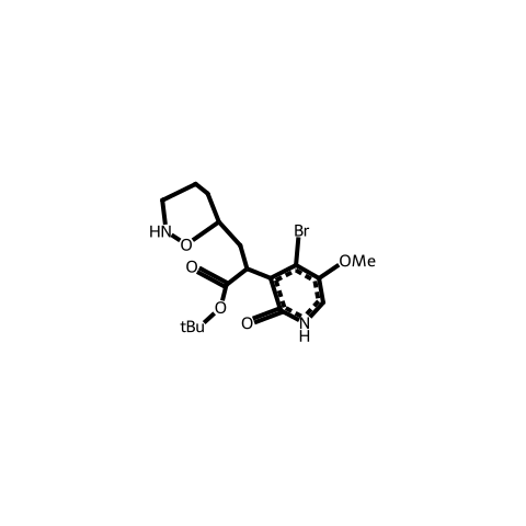 COc1c[nH]c(=O)c(C(CC2CCCNO2)C(=O)OC(C)(C)C)c1Br